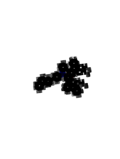 CC1(C)c2ccccc2-c2c(-c3ccccc3N(c3ccc(-c4ccc5c(ccc6ccccc65)c4)cc3)c3cccc(-c4cccc5c4C(C)(C)c4ccccc4-5)c3)cccc21